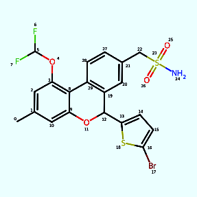 Cc1cc(OC(F)F)c2c(c1)OC(c1ccc(Br)s1)c1cc(CS(N)(=O)=O)ccc1-2